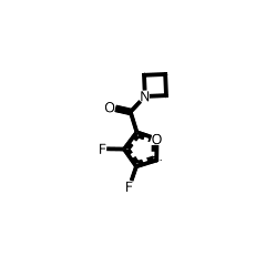 O=C(c1o[c]c(F)c1F)N1CCC1